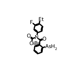 CCc1ccc(N(C(=O)OCC(C)C)C(=O)c2ccccc2[AsH2])cc1F